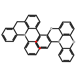 c1ccc(N2c3ccccc3Cc3cccc(-c4cccc5c4Oc4cccc6c4B5c4ccccc4O6)c32)cc1